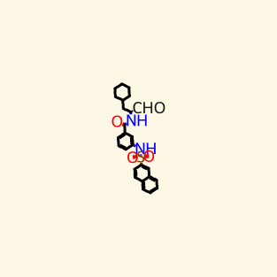 O=C[C@H](CC1CCCCC1)NC(=O)c1cccc(NS(=O)(=O)c2ccc3ccccc3c2)c1